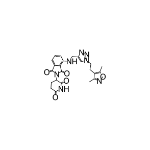 Cc1noc(C)c1CCn1cc(CNc2cccc3c2C(=O)N(C2CCC(=O)NC2=O)C3=O)nn1